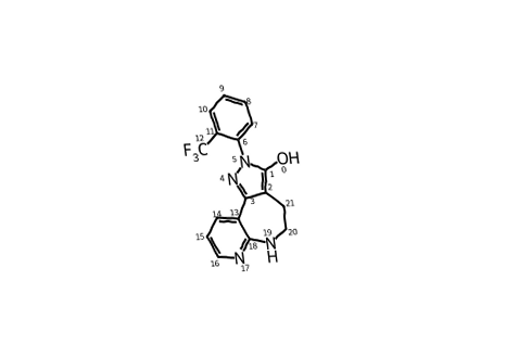 Oc1c2c(nn1-c1ccccc1C(F)(F)F)-c1cccnc1NCC2